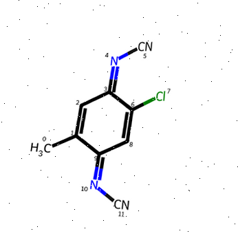 CC1=CC(=NC#N)C(Cl)=CC1=NC#N